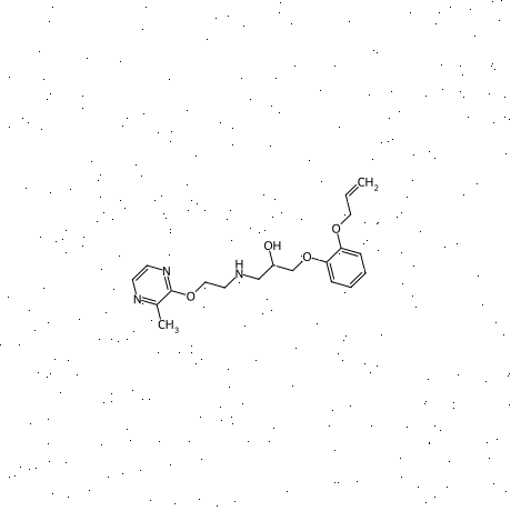 C=CCOc1ccccc1OCC(O)CNCCOc1nccnc1C